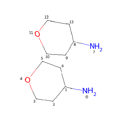 NC1CCOCC1.NC1CCOCC1